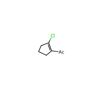 CC(=O)C1=C(Cl)CCC1